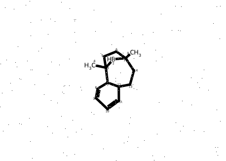 CC12BC(C)(CC1)C1C=CC=CC1CC2